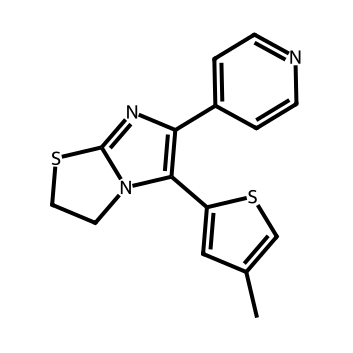 Cc1csc(-c2c(-c3ccncc3)nc3n2CCS3)c1